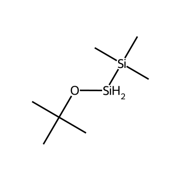 CC(C)(C)O[SiH2][Si](C)(C)C